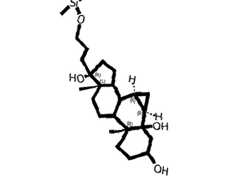 C[C@]12CCC3C(C1CC[C@@]2(O)CCCO[Si](C)(C)C)[C@H]1C[C@H]1C1(O)CC(O)CC[C@]31C